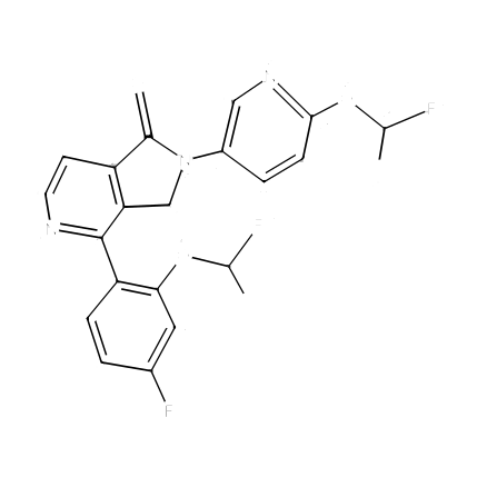 O=C1c2ccnc(-c3ccc(F)cc3OC(F)F)c2CN1c1ccc(OC(F)F)nc1